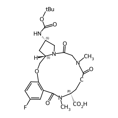 CN1CC(=O)N2C[C@@H](NC(=O)OC(C)(C)C)C[C@H]2COc2ccc(F)cc2C(=O)N(C)[C@@H](C(=O)O)CCC1=O